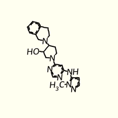 Cn1nccc1Nc1cc(N2CCC(N3CCc4ccccc4C3)C(O)C2)ncn1